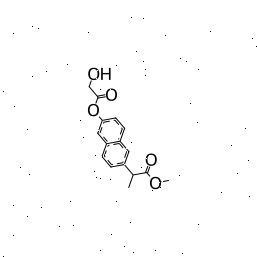 COC(=O)C(C)c1ccc2cc(OC(=O)CO)ccc2c1